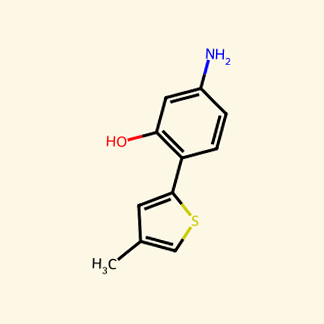 Cc1csc(-c2ccc(N)cc2O)c1